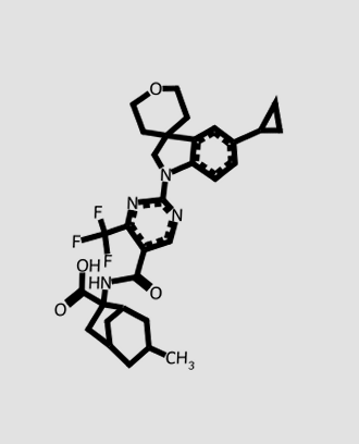 CC1CC2CC(C1)C(NC(=O)c1cnc(N3CC4(CCOCC4)c4cc(C5CC5)ccc43)nc1C(F)(F)F)(C(=O)O)C2